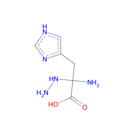 NNC(N)(Cc1c[nH]cn1)C(=O)O